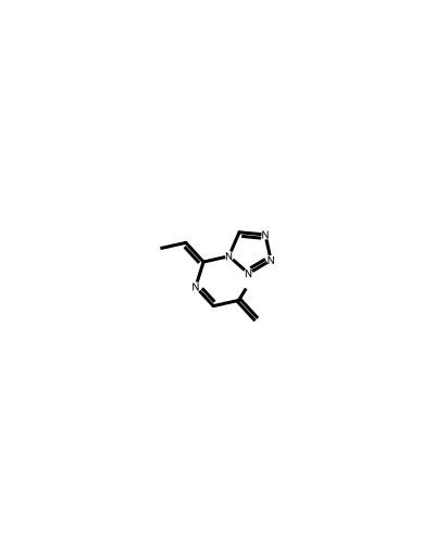 C=C(C)/C=N\C(=C/C)n1cnnn1